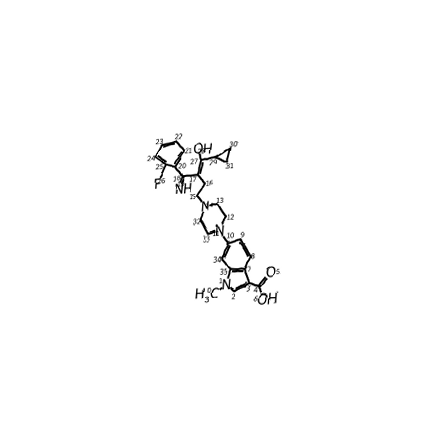 Cn1cc(C(=O)O)c2ccc(N3CCN(CC/C(C(=N)c4ccccc4F)=C(/O)C4CC4)CC3)cc21